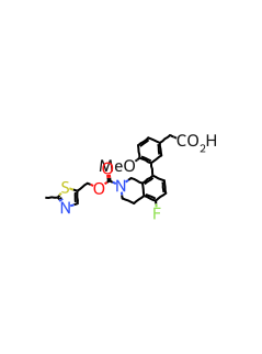 COc1ccc(CC(=O)O)cc1-c1ccc(F)c2c1CN(C(=O)OCc1cnc(C)s1)CC2